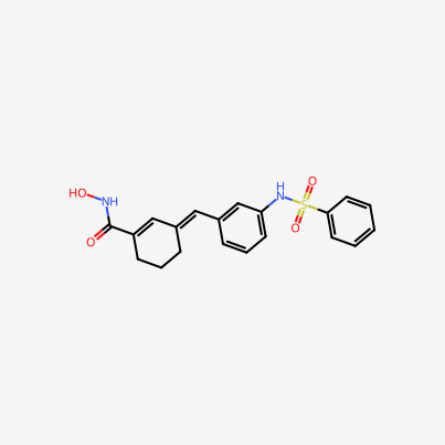 O=C(NO)C1=C/C(=C/c2cccc(NS(=O)(=O)c3ccccc3)c2)CCC1